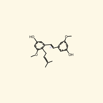 COc1cc(O)cc(/C=C/c2cc(O)cc(OC)c2CC=C(C)C)c1